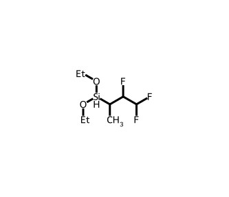 CCO[SiH](OCC)C(C)C(F)C(F)F